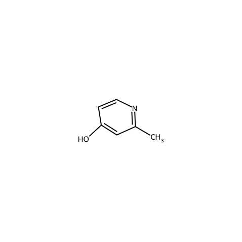 Cc1cc(O)[c]cn1